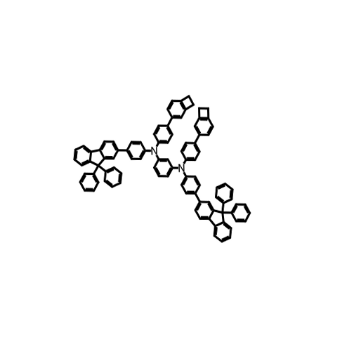 c1ccc(C2(c3ccccc3)c3ccccc3-c3ccc(-c4ccc(N(c5ccc(-c6ccc7c(c6)CC7)cc5)c5cccc(N(c6ccc(-c7ccc8c(c7)CC8)cc6)c6ccc(-c7ccc8c(c7)C(c7ccccc7)(c7ccccc7)c7ccccc7-8)cc6)c5)cc4)cc32)cc1